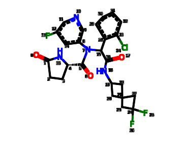 O=C1CC[C@@H](C(=O)N(c2cncc(F)c2)C(C(=O)NC2CC3(C2)CC(F)(F)C3)c2ccccc2Cl)N1